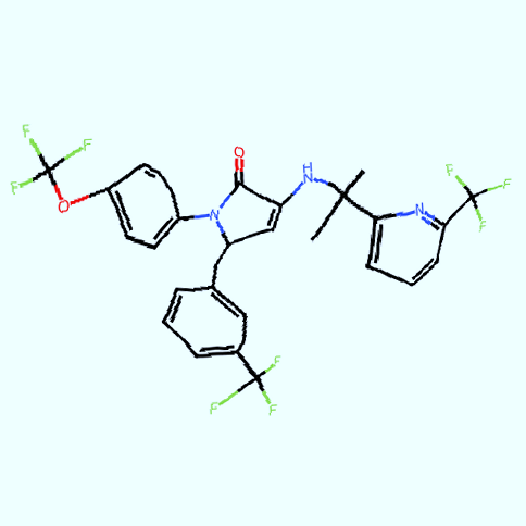 CC(C)(NC1=CC(c2cccc(C(F)(F)F)c2)N(c2ccc(OC(F)(F)F)cc2)C1=O)c1cccc(C(F)(F)F)n1